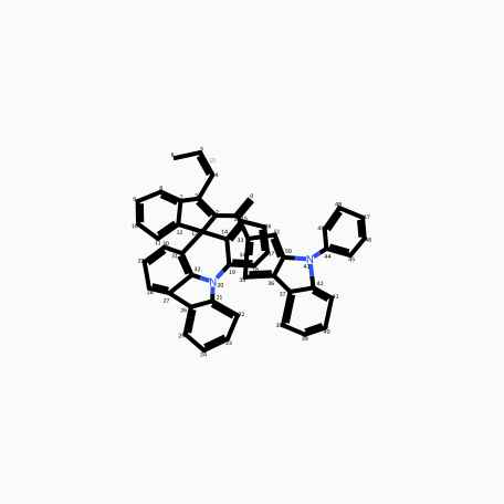 C=C(C1=C(/C=C\C)c2ccccc2C12c1ccccc1-n1c3ccccc3c3cccc2c31)c1ccc2c3ccccc3n(-c3ccccc3)c2c1